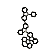 c1ccc(-n2c3ccccc3c3ccc(-c4ccc5c(c4)c4ccccc4n5-c4ccc5c(c4)C4(c6ccccc6-5)c5cccc6ccc7cccc4c7c56)cc32)cc1